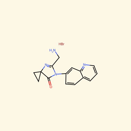 Br.NCC1=NC2(CC2)C(=O)N1c1ccc2cccnc2c1